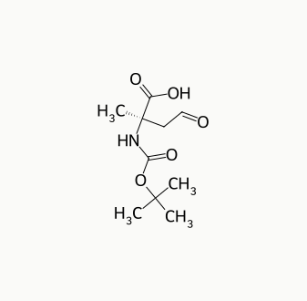 CC(C)(C)OC(=O)N[C@](C)(CC=O)C(=O)O